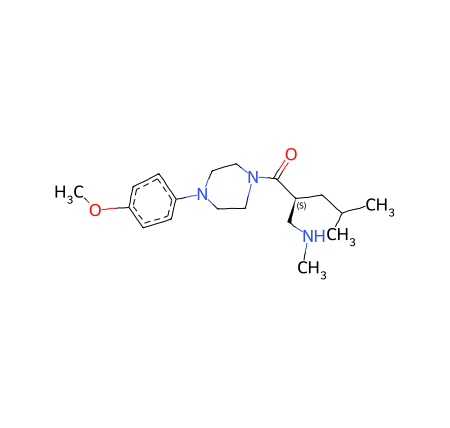 CNC[C@H](CC(C)C)C(=O)N1CCN(c2ccc(OC)cc2)CC1